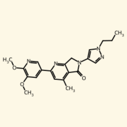 CCCn1cc(N2Cc3nc(-c4cnc(OC)c(OC)c4)cc(C)c3C2=O)cn1